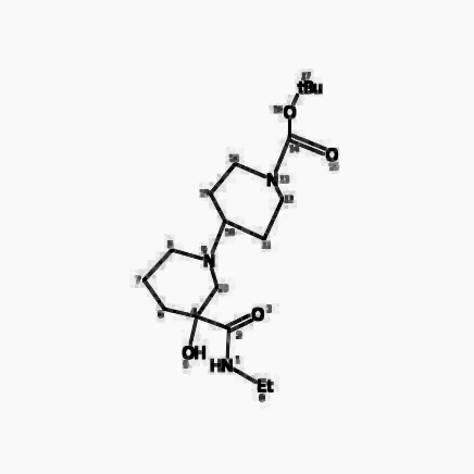 CCNC(=O)C1(O)CCCN(C2CCN(C(=O)OC(C)(C)C)CC2)C1